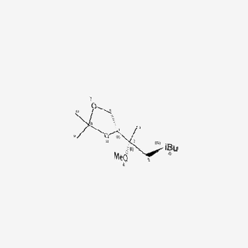 CC[C@H](C)C[C@@](C)(OC)[C@H]1COC(C)(C)O1